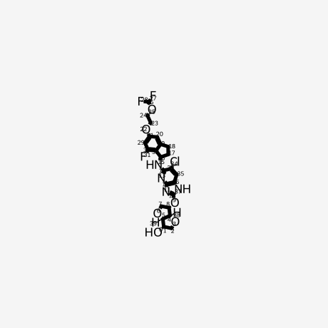 O[C@@H]1CO[C@H]2[C@@H]1OC[C@H]2Oc1nc2nc(NC3CCc4cc(OCCOC(F)F)cc(F)c43)c(Cl)cc2[nH]1